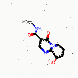 CCCCCCCCNC(=O)c1cnc2c(O)cccn2c1=O